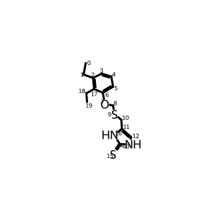 CCc1cccc(OCSCc2c[nH]c(=S)[nH]2)c1CC